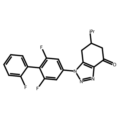 CC(C)C1CC(=O)c2nnn(-c3cc(F)c(-c4ccccc4F)c(F)c3)c2C1